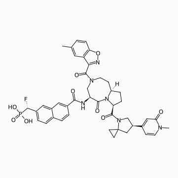 Cc1ccc2onc(C(=O)N3CC[C@H]4CC[C@@H](C(=O)N5C[C@@H](c6ccn(C)c(=O)c6)CC56CC6)N4C(=O)[C@@H](NC(=O)c4ccc5ccc([C@@H](F)P(=O)(O)O)cc5c4)C3)c2c1